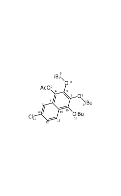 CCC(C)Oc1c(OC(C)CC)c(OC(C)=O)c2cc(Cl)ccc2c1OCC(C)C